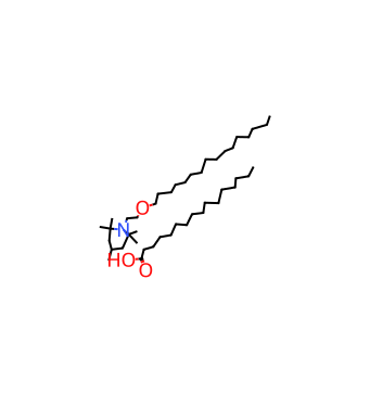 CCCCCCCCCCCCCCCC(=O)O.CCCCCCCCCCCCCCCCOCCN1C(C)(C)CC(C)CC1(C)C